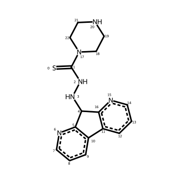 S=C(NNC1c2ncccc2-c2cccnc21)N1CCNCC1